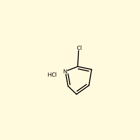 Cl.Clc1ccccn1